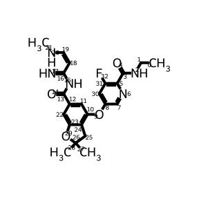 CCNC(=O)c1ncc(Oc2cc(C(=O)NC(=N)/C=C\NC)cc3c2CC(C)(C)O3)cc1F